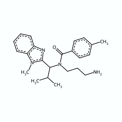 Cc1ccc(C(=O)N(CCCN)C(c2nc3ccccc3n2C)C(C)C)cc1